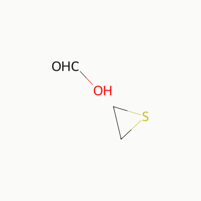 C1CS1.O=CO